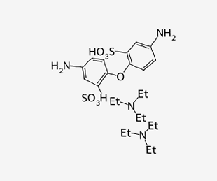 CCN(CC)CC.CCN(CC)CC.Nc1ccc(Oc2ccc(N)cc2S(=O)(=O)O)c(S(=O)(=O)O)c1